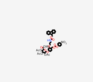 COC(=O)[C@H]1O[C@@H](Oc2ccc(COC(=O)Oc3ccc([N+](=O)[O-])cc3)c(OCCCNC(=O)OCC3c4ccccc4-c4ccccc43)c2)[C@H](OC(C)=O)[C@@H](OC(C)=O)[C@@H]1OC(C)=O